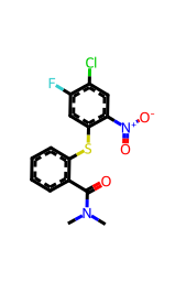 CN(C)C(=O)c1ccccc1Sc1cc(F)c(Cl)cc1[N+](=O)[O-]